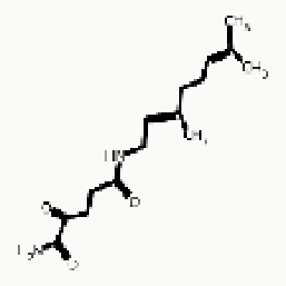 CC(C)=CCC/C(C)=C/CNC(=O)CCC(=O)C(N)=O